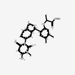 COC(=O)C(C)Oc1cc(C)c(C)cc1-c1nsc2ccc(-n3c(=O)cc(C(F)(F)F)n(C)c3=O)cc12